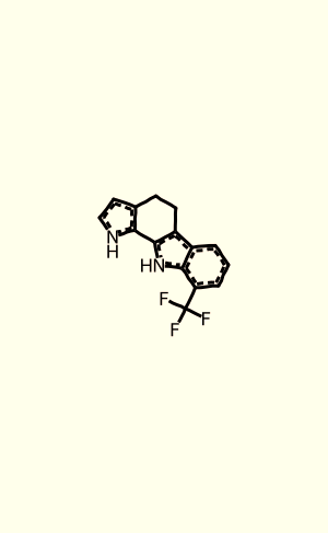 FC(F)(F)c1cccc2c3c([nH]c12)-c1[nH]ccc1CC3